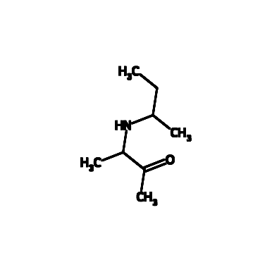 CCC(C)NC(C)C(C)=O